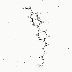 CCCCC=CCCOc1ccc(-c2cn3cc(CCCCCCC)sc3n2)cc1